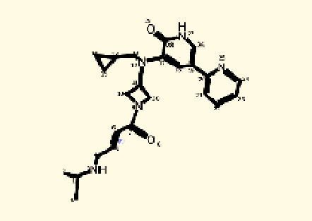 CC(C)NC/C=C/C(=O)N1CC(N(CC2CC2)c2cc(-c3ccccn3)c[nH]c2=O)C1